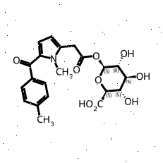 Cc1ccc(C(=O)c2ccc(CC(=O)O[C@@H]3O[C@H](C(=O)O)[C@@H](O)[C@H](O)[C@H]3O)n2C)cc1